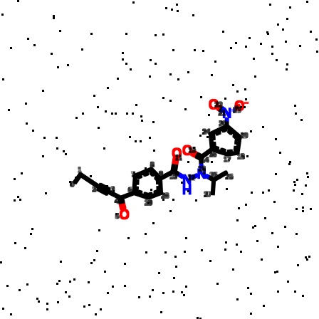 CCC#CC(=O)c1ccc(C(=O)NN(C(=O)c2cccc([N+](=O)[O-])c2)C(C)C)cc1